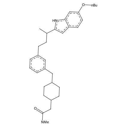 CCCCOc1ccc2cc(C(C)CCc3cccc(CC4CCC(CC(=O)NC)CC4)c3)[nH]c2c1